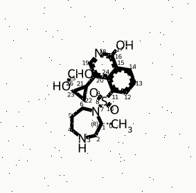 C[C@@H]1CNCCCN1S(=O)(=O)c1cccc2c(O)ncc(C3CC3)c12.O=CO